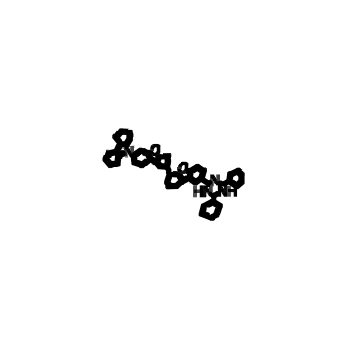 c1ccc(C2=NC(c3ccc4oc5c(-c6ccc7oc8cc(-n9c%10ccccc%10c%10ccccc%109)ccc8c7c6)cccc5c4c3)NC(c3ccccc3)N2)cc1